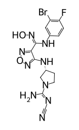 N#CN=C(N)N1CC[C@@H](Nc2nonc2C(=NO)Nc2ccc(F)c(Br)c2)C1